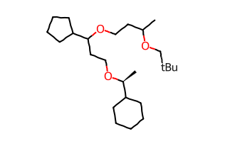 CC(CCOC(CCO[C@@H](C)C1CCCCC1)C1CCCC1)OCC(C)(C)C